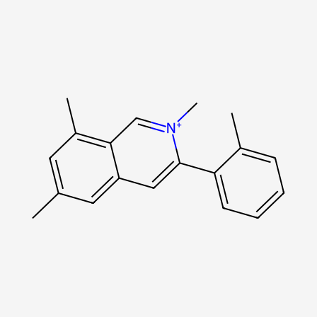 Cc1cc(C)c2c[n+](C)c(-c3ccccc3C)cc2c1